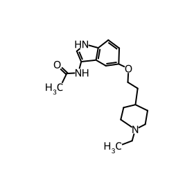 CCN1CCC(CCOc2ccc3[nH]cc(NC(C)=O)c3c2)CC1